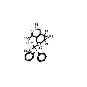 CCC1=C(C(=O)O)C[C@@H](O[Si](c2ccccc2)(c2ccccc2)C(C)(C)C)[C@@H]2N[C@@H]12